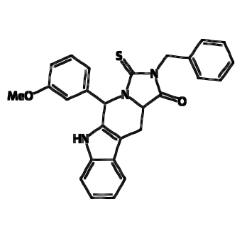 COc1cccc(C2c3[nH]c4ccccc4c3CC3C(=O)N(Cc4ccccc4)C(=S)N32)c1